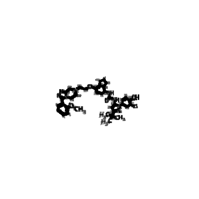 COc1ccccc1-c1nnc2n1CCN(CCOc1ccc(NC(=O)Nc3cc(C(C)(C)C)nn3-c3ccc(O)c(Cl)c3)c3c1CCC3)C2